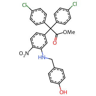 COC(=O)C(c1ccc(Cl)cc1)(c1ccc(Cl)cc1)c1ccc([N+](=O)[O-])c(NCc2ccc(O)cc2)c1